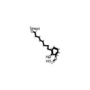 CCCCCCCOCCCCCCCCc1cccc(OC(=O)O)c1O